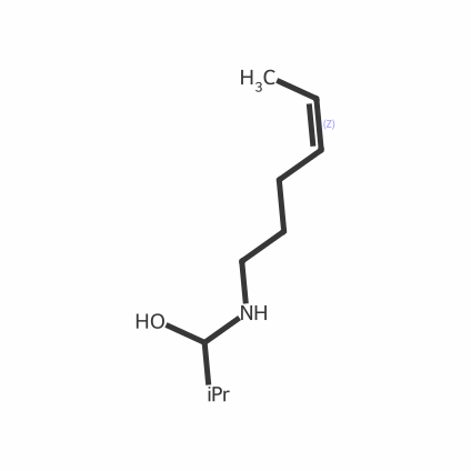 C/C=C\CCCNC(O)C(C)C